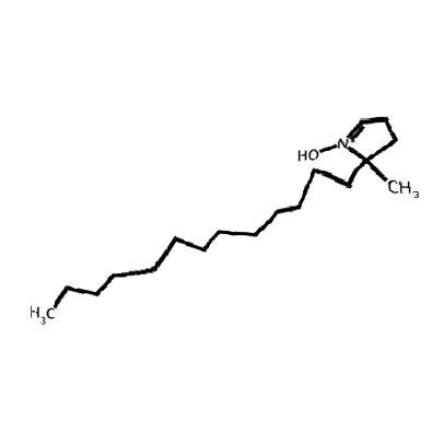 CCCCCCCCCCCCCC1(C)CCC=[N+]1O